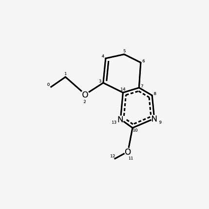 CCOC1=CCCc2cnc(OC)nc21